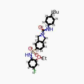 CCOc1cc(F)ccc1NS(=O)(=O)c1ccc2c(c1)CN(C(=O)Nc1ccc(C(C)(C)C)cc1)C2